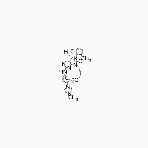 Cc1cccc(C)c1N1Cc2cnc3nc2N(C/C=C/COCc2cc(ccc2N2CCN(C)CC2)N3)C1=O